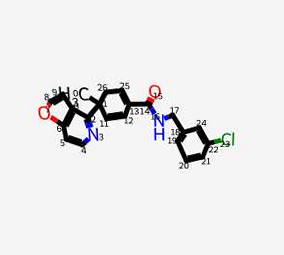 CC1(c2nccc3occc23)C=CC(C(=O)NCc2cccc(Cl)c2)=CC1